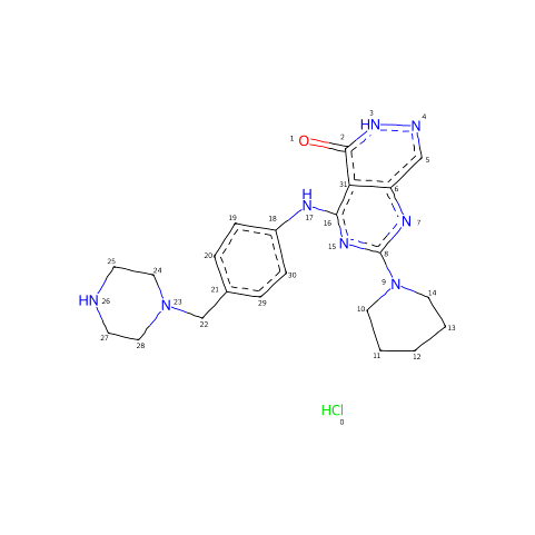 Cl.O=c1[nH]ncc2nc(N3CCCCC3)nc(Nc3ccc(CN4CCNCC4)cc3)c12